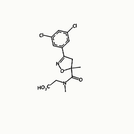 CN(CC(=O)O)C(=O)C1(C)CC(c2cc(Cl)cc(Cl)c2)=NO1